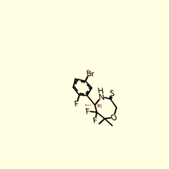 CC1(C)OCC(=S)N[C@](C)(c2cc(Br)ccc2F)C1(F)F